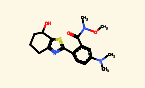 CON(C)C(=O)c1cc(N(C)C)ccc1-c1nc2c(s1)C(O)CCC2